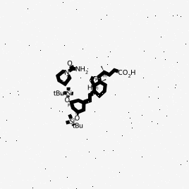 C[C@H](CCC(=O)O)[C@H]1CC[C@H]2C(=CC=C3C[C@@H](O[Si](C)(C)C(C)(C)C)C[C@H](O[Si](C)(C)C(C)(C)C)C3)CCC[C@]12C.NC(=O)N1CCCCC1